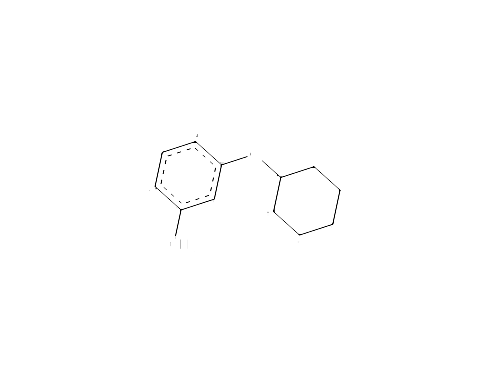 Cc1[c]ccc(OC2CCCCC2)c1